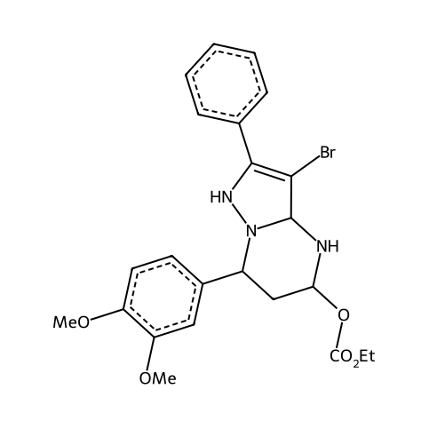 CCOC(=O)OC1CC(c2ccc(OC)c(OC)c2)N2NC(c3ccccc3)=C(Br)C2N1